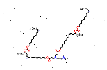 CCCCCCCC/C=C\CCCCCCCCOC(=O)OC(C/C=C\CCCCCCCCOC(=O)CCN(CCCN(C)C)CCC(=O)OCCCCCCCC/C=C\CC(CCCCCC)OC(=O)OCCCCCCCC/C=C\CCCCCCCC)CCCCCC